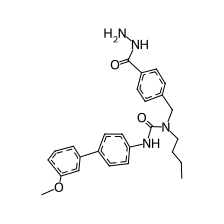 CCCCN(Cc1ccc(C(=O)NN)cc1)C(=O)Nc1ccc(-c2cccc(OC)c2)cc1